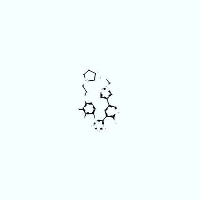 CC(C)Cn1cc(-c2cnc(N)c(-c3nnnn3-c3ccc(OCCN4CCCC4)c(F)c3F)c2)cn1